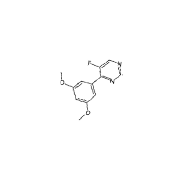 COc1cc(OC)cc(-c2n[c]ncc2F)c1